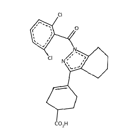 O=C(O)C1CC=C(c2nn(C(=O)c3c(Cl)cccc3Cl)c3c2CCCC3)CC1